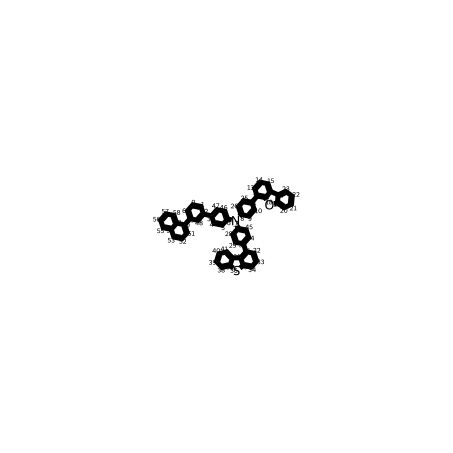 c1cc(-c2ccc(N(c3ccc(-c4cccc5c4oc4ccccc45)cc3)c3ccc(-c4cccc5sc6ccccc6c45)cc3)cc2)cc(-c2cccc3ccccc23)c1